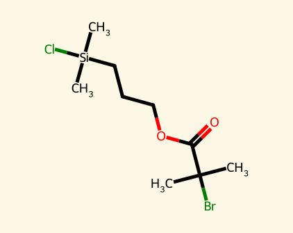 CC(C)(Br)C(=O)OCCC[Si](C)(C)Cl